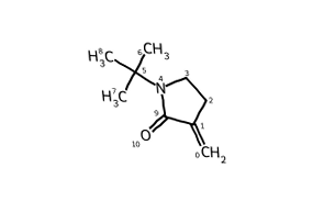 C=C1CCN(C(C)(C)C)C1=O